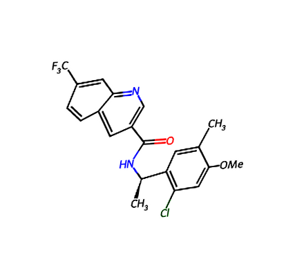 COc1cc(Cl)c([C@@H](C)NC(=O)c2cnc3cc(C(F)(F)F)ccc3c2)cc1C